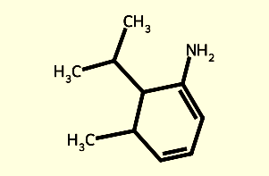 CC(C)C1C(N)=CC=CC1C